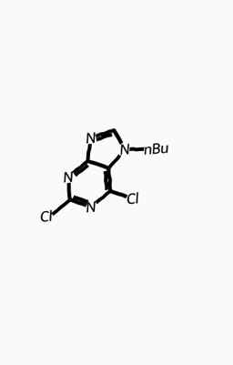 CCCCn1cnc2nc(Cl)nc(Cl)c21